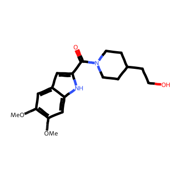 COc1cc2cc(C(=O)N3CCC(CCO)CC3)[nH]c2cc1OC